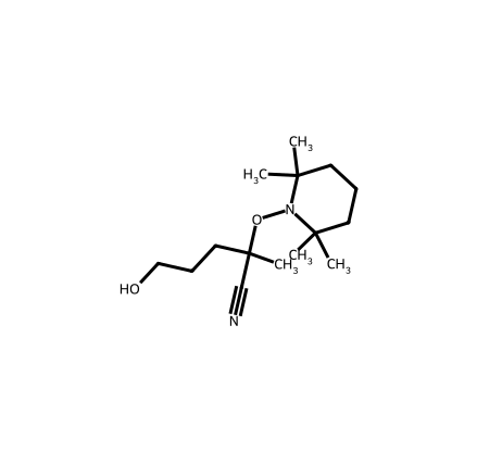 CC(C#N)(CCCO)ON1C(C)(C)CCCC1(C)C